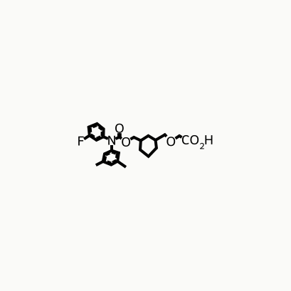 Cc1cc(C)cc(N(C(=O)OCC2CCCC(COCC(=O)O)C2)c2cccc(F)c2)c1